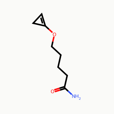 NC(=O)CCCCOC1=CC1